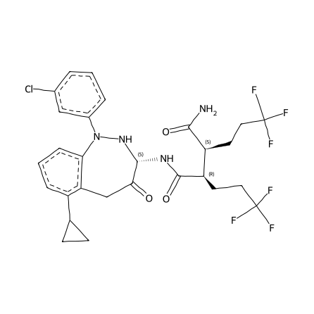 NC(=O)[C@@H](CCC(F)(F)F)[C@@H](CCC(F)(F)F)C(=O)N[C@H]1NN(c2cccc(Cl)c2)c2cccc(C3CC3)c2CC1=O